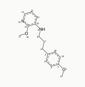 COc1ccc(CCCNc2cccnc2OC)cc1